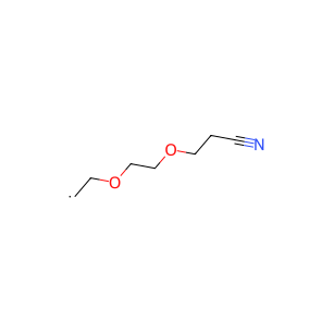 [CH2]COCCOCCC#N